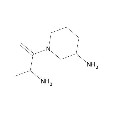 C=C(C(C)N)N1CCCC(N)C1